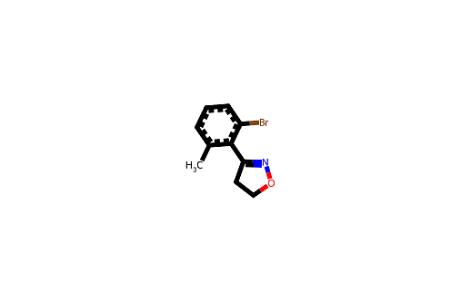 Cc1cccc(Br)c1C1=NOCC1